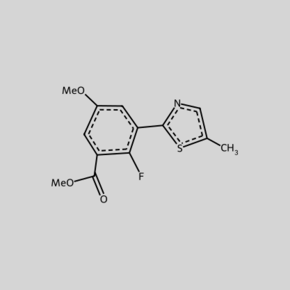 COC(=O)c1cc(OC)cc(-c2ncc(C)s2)c1F